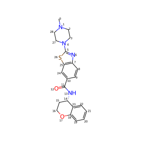 CN1CCN(c2nc3ccc(C(=O)N[C@H]4CCOc5ccccc54)cc3s2)CC1